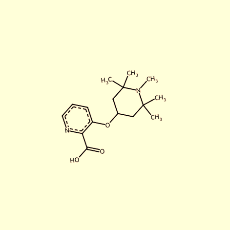 CN1C(C)(C)CC(Oc2cccnc2C(=O)O)CC1(C)C